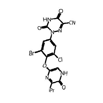 CC(C)c1nc(Oc2c(Cl)cc(-n3nc(C#N)c(=O)[nH]c3=O)cc2Br)c[nH]c1=O